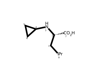 CC(C)C[C@H](NC1CC1)C(=O)O